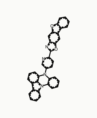 c1ccc2c(c1)N(c1ccc(-c3nc4cc5oc6ccccc6c5cc4o3)nc1)c1cccc3c4ccccc4n-2c13